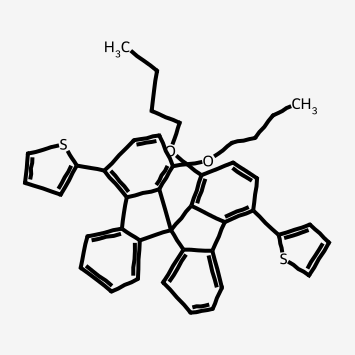 CCCCOc1ccc(-c2cccs2)c2c1C1(c3ccccc3-2)c2ccccc2-c2c(-c3cccs3)ccc(OCCCC)c21